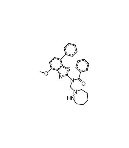 COc1ccc(-c2ccccc2)c2sc(N(CN3CCCCCN3)C(=O)c3ccccc3)nc12